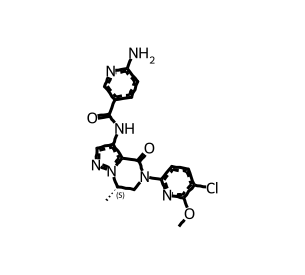 COc1nc(N2C[C@H](C)n3ncc(NC(=O)c4ccc(N)nc4)c3C2=O)ccc1Cl